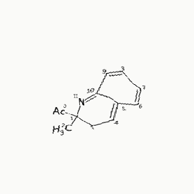 CC(=O)C1(C)CC=c2ccccc2=N1